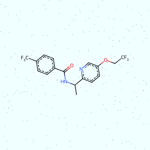 CC(NC(=O)c1ccc(C(F)(F)F)cc1)c1ccc(OCC(F)(F)F)cn1